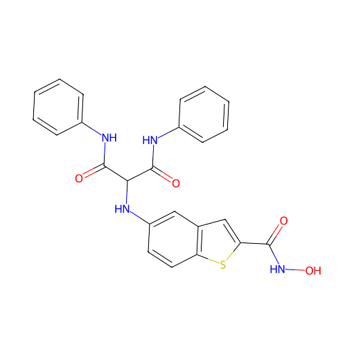 O=C(NO)c1cc2cc(NC(C(=O)Nc3ccccc3)C(=O)Nc3ccccc3)ccc2s1